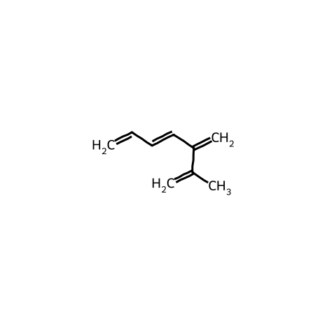 C=CC=CC(=C)C(=C)C